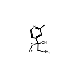 CCOC(O)(CN)c1ccnc(C)c1